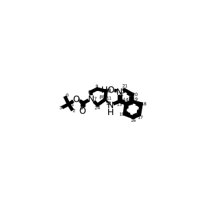 CC(C)(C)OC(=O)N1CCC[C@@H](Nc2c3ccccc3cc[n+]2O)C1